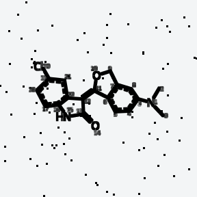 CN(C)c1ccc2c(c1)CO/C2=C1/C(=O)Nc2ccc(Cl)cc21